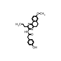 CCCc1nc2c(nc1NC(=O)Cc1ccc(O)cc1)CCc1cc(OC)ccc1-2